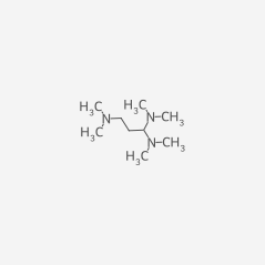 CN(C)CCC(N(C)C)N(C)C